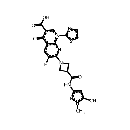 Cc1cc(NC(=O)C2CN(c3nc4c(cc3F)c(=O)c(C(=O)O)cn4-c3nccs3)C2)nn1C